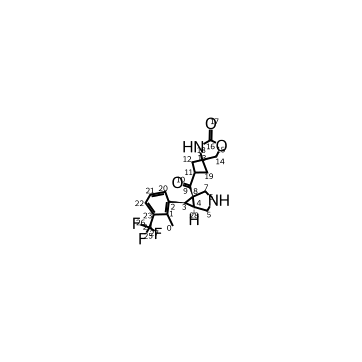 Cc1c([C@@H]2[C@@H]3CNC[C@@]23C(=O)C2CC3(COC(=O)N3)C2)cccc1C(F)(F)F